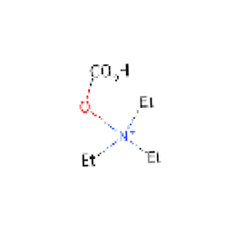 CC[N+](CC)(CC)OC(=O)O